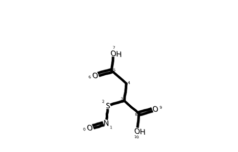 O=NSC(CC(=O)O)C(=O)O